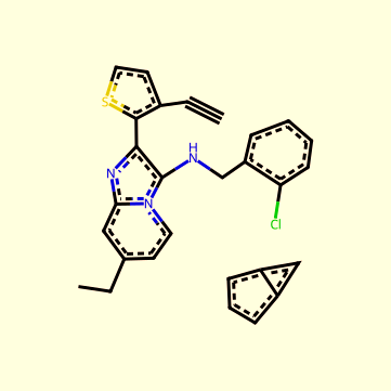 C#Cc1ccsc1-c1nc2cc(CC)ccn2c1NCc1ccccc1Cl.c1cc2cc-2c1